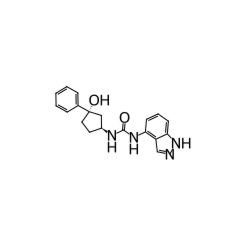 O=C(Nc1cccc2[nH]ncc12)N[C@H]1CC[C@@](O)(c2ccccc2)C1